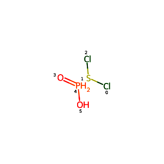 ClSCl.O=[PH2]O